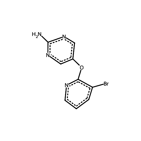 Nc1ncc(Oc2ncccc2Br)cn1